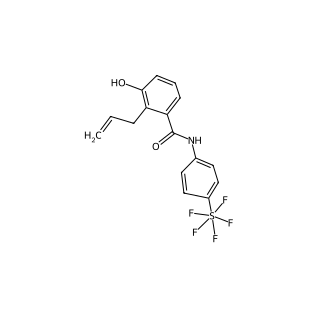 C=CCc1c(O)cccc1C(=O)Nc1ccc(S(F)(F)(F)(F)F)cc1